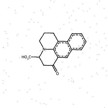 O=C1CC(C(=O)O)N2CCCc3c2c1cc1ccccc31